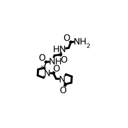 NC(=O)CNC(=O)CNC(=O)[C@@H]1CCCN1C(=O)CN1CCCC1=O